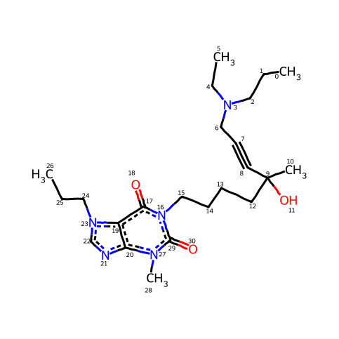 CCCN(CC)CC#CC(C)(O)CCCCn1c(=O)c2c(ncn2CCC)n(C)c1=O